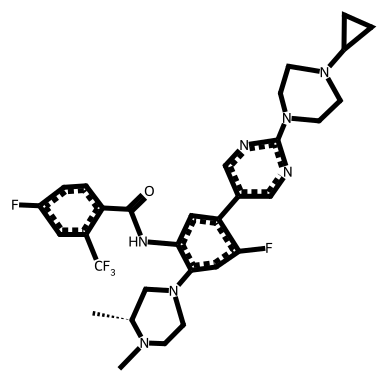 C[C@@H]1CN(c2cc(F)c(-c3cnc(N4CCN(C5CC5)CC4)nc3)cc2NC(=O)c2ccc(F)cc2C(F)(F)F)CCN1C